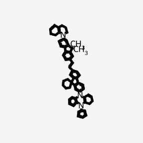 CC1(C)c2cc(/C=C/c3ccc4c(c3)C3(CCCCC3)c3cc(N5C6=C(CCC=C6)N(c6ccccc6)c6ccccc65)ccc3-4)ccc2-c2ccc(N3CCCC4=C3CCC=C4)cc21